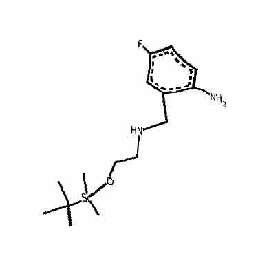 CC(C)(C)[Si](C)(C)OCCNCc1cc(F)ccc1N